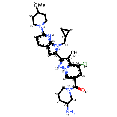 COC1CCN(c2ccc3cc(-c4nn5cc(C(=O)N6CCCC(N)C6)cc(Cl)c5c4C)n(CC4CC4)c3n2)CC1